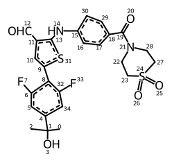 CC(C)(O)c1cc(F)c(-c2cc(C=O)c(Nc3ccc(C(=O)N4CCS(=O)(=O)CC4)cc3)s2)c(F)c1